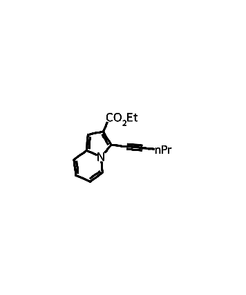 CCCC#Cc1c(C(=O)OCC)cc2ccccn12